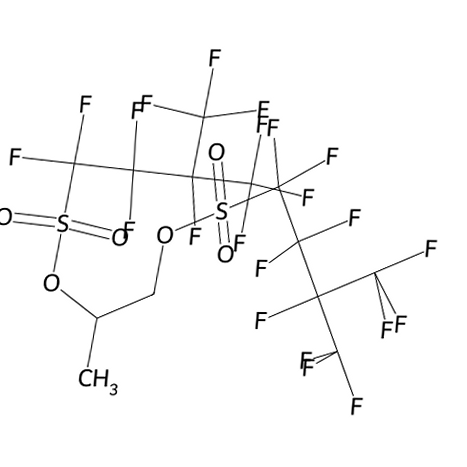 CC(COS(=O)(=O)C(F)(F)C(F)(F)C(F)(C(F)(F)F)C(F)(F)F)OS(=O)(=O)C(F)(F)C(F)(F)C(F)(C(F)(F)F)C(F)(F)F